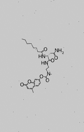 CCCCCCCC(=O)N[C@H](CC(N)=O)C(=O)NCCN(C)C(=O)Oc1ccc2c(C)cc(=O)oc2c1